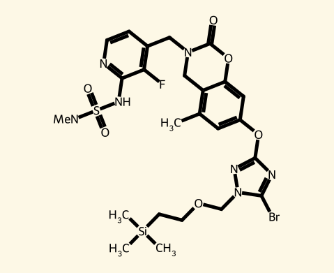 CNS(=O)(=O)Nc1nccc(CN2Cc3c(C)cc(Oc4nc(Br)n(COCC[Si](C)(C)C)n4)cc3OC2=O)c1F